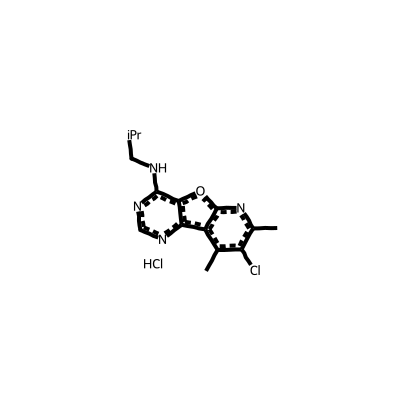 Cc1nc2oc3c(NCC(C)C)ncnc3c2c(C)c1Cl.Cl